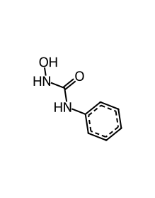 O=C(NO)Nc1ccccc1